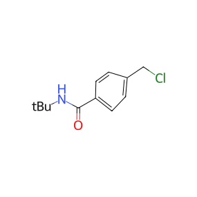 CC(C)(C)NC(=O)c1ccc(CCl)cc1